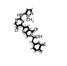 Cn1nccc1Nc1ncc(Cl)c(-c2cc3c(s2)CN(C(O)[CH]c2ccc(F)c(F)c2)C3=O)n1